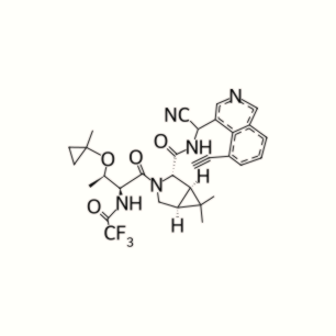 C#Cc1cccc2cncc(C(C#N)NC(=O)[C@@H]3[C@@H]4[C@H](CN3C(=O)[C@@H](NC(=O)C(F)(F)F)[C@@H](C)OC3(C)CC3)C4(C)C)c12